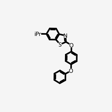 CC(C)c1ccc2nc(Oc3ccc(Oc4ccccc4)cc3)sc2c1